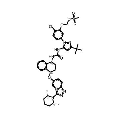 C[C@@H]1CCC[C@H](C)N1c1nnc2ccc(O[C@@H]3CC[C@H](NC(=O)Nc4cc(C(C)(C)C)nn4-c4ccc(Cl)c(OCOS(C)(=O)=O)c4)c4ccccc43)cn12